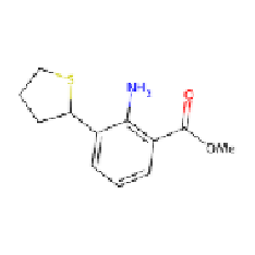 COC(=O)c1cccc(C2CCCS2)c1N